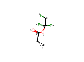 CC(=O)CC(=O)OC(F)(F)CF